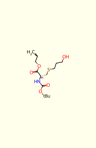 C=CCOC(=O)[C@H](CSCCCO)NC(=O)OC(C)(C)C